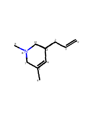 C=CCC1C=C(C)CN(C)C1